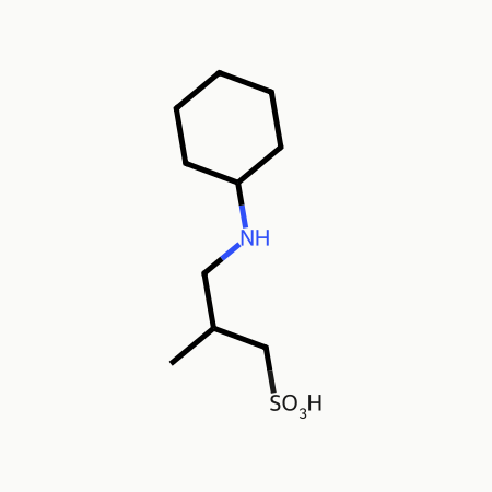 CC(CNC1CCCCC1)CS(=O)(=O)O